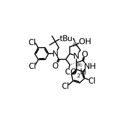 CC(C)(C)C(C)(C)CN(C(=O)C1C2C[C@](C)(O)CN2[C@]2(C(=O)Nc3c(Cl)cc(Cl)cc32)C1C(=O)O)c1cc(Cl)cc(Cl)c1